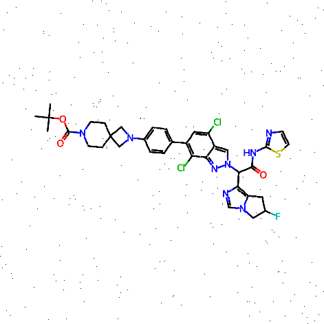 CC(C)(C)OC(=O)N1CCC2(CC1)CN(c1ccc(-c3cc(Cl)c4cn(C(C(=O)Nc5nccs5)c5ncn6c5CC(F)C6)nc4c3Cl)cc1)C2